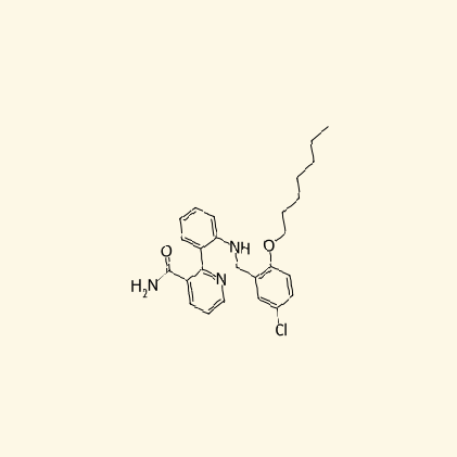 CCCCCCCOc1ccc(Cl)cc1CNc1ccccc1-c1ncccc1C(N)=O